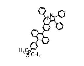 CP(C)(=O)c1ccc(-c2c3ccccc3c(-c3ccc4c(c3)cc(-c3ccccc3)n3nc(-c5ccccc5)c(-c5ccccc5)c43)c3ccccc23)cc1